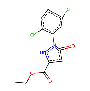 CCOC(=O)c1cc(=O)n(-c2cc(Cl)ccc2Cl)[nH]1